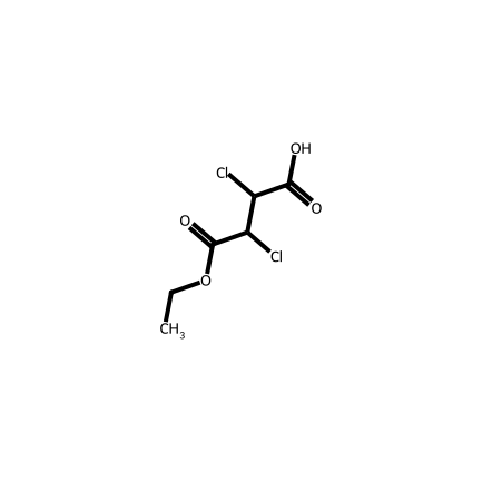 CCOC(=O)C(Cl)C(Cl)C(=O)O